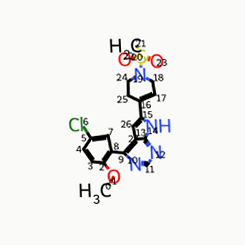 COc1ccc(Cl)cc1-c1ncnc2[nH]c(C3=CCN(S(C)(=O)=O)CC3)cc12